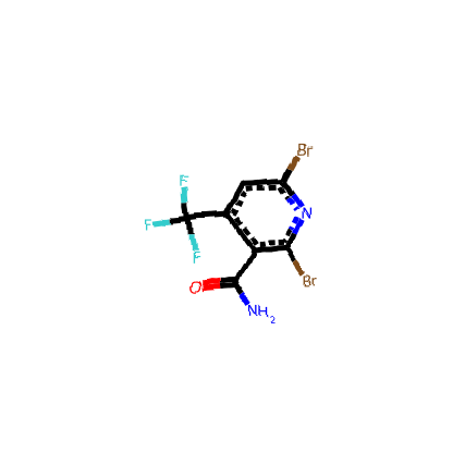 NC(=O)c1c(C(F)(F)F)cc(Br)nc1Br